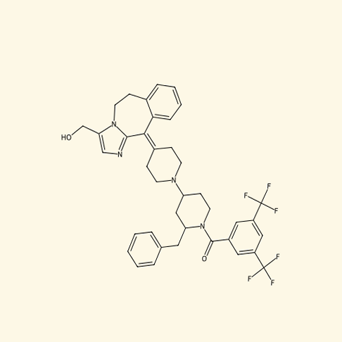 O=C(c1cc(C(F)(F)F)cc(C(F)(F)F)c1)N1CCC(N2CCC(=C3c4ccccc4CCn4c(CO)cnc43)CC2)CC1Cc1ccccc1